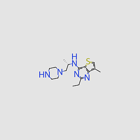 CCc1nc(N[C@@H](C)CN2CCNCC2)c2scc(C)c2n1